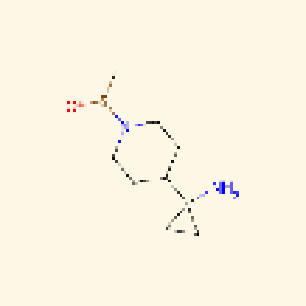 C[S+]([O-])N1CCC(C2(N)CC2)CC1